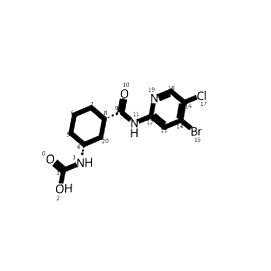 O=C(O)N[C@@H]1CCC[C@H](C(=O)Nc2cc(Br)c(Cl)cn2)C1